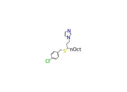 CCCCCCCCC(CCn1ccnc1)SCc1ccc(Cl)cc1